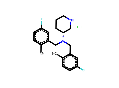 Cl.N#Cc1ccc(F)cc1CN(Cc1cc(F)ccc1C#N)[C@@H]1CCCNC1